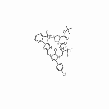 CC(C)(C)OC(=O)N1C[C@@H](F)C[C@H]1C(=O)NC(Cn1c(-c2ccc(Cl)cc2)nn(Cc2ncn(-c3ncccc3C(F)(F)F)n2)c1=O)C(F)(F)F